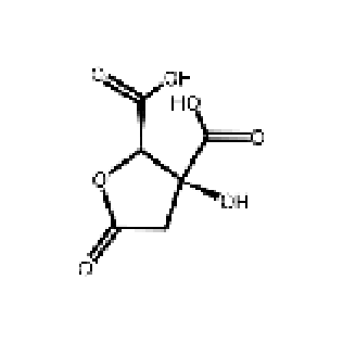 O=C1C[C@@](O)(C(=O)O)[C@H](C(=O)O)O1